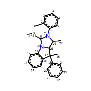 Cc1ccccc1N1C(C(C)(C)C)N2c3ccccc3C(C)(c3ccccc3)C2[C@@H]1C